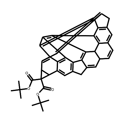 CC(C)(C)OC(=O)C1(C(=O)OC(C)(C)C)C2c3cc4c5c6c7c8c9c%10c(cc%11c9c9c(cc(c%12c9c8c5c3-%12)C21)C%11)C=CC(C=C6C4)C%107